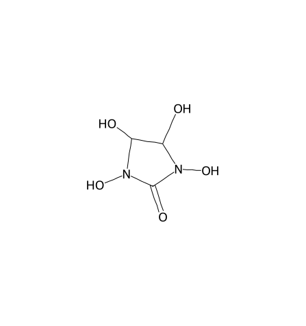 O=C1N(O)C(O)C(O)N1O